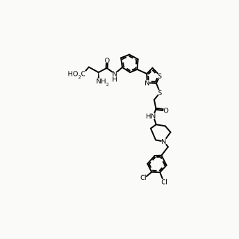 N[C@@H](CC(=O)O)C(=O)Nc1cccc(-c2csc(SCC(=O)NC3CCN(Cc4ccc(Cl)c(Cl)c4)CC3)n2)c1